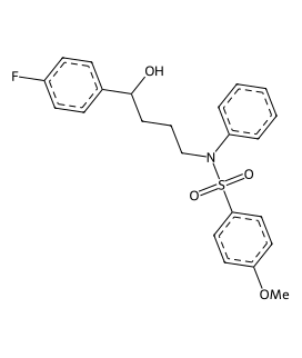 COc1ccc(S(=O)(=O)N(CCCC(O)c2ccc(F)cc2)c2ccccc2)cc1